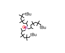 CC(CC(C)(C)CC(C)(C)CC(C)(C)C)CP(=O)(CC(C)CC(C)(C)CC(C)(C)CC(C)(C)C)CC(C)CC(C)(C)CC(C)(C)CC(C)(C)C